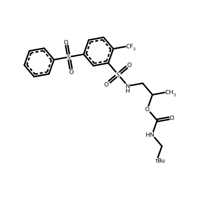 CC(CNS(=O)(=O)c1cc(S(=O)(=O)c2ccccc2)ccc1C(F)(F)F)OC(=O)NCC(C)(C)C